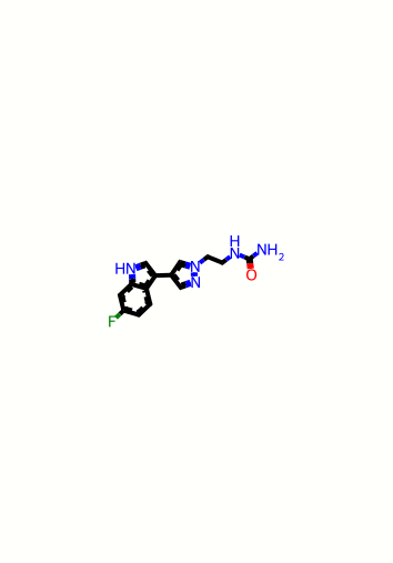 NC(=O)NCCn1cc(-c2c[nH]c3cc(F)ccc23)cn1